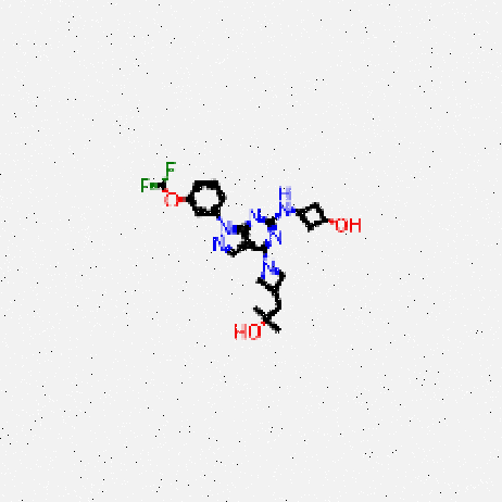 CC(C)(O)CC1CN(c2nc(NC3CC(O)C3)nc3c2cnn3-c2cccc(OC(F)F)c2)C1